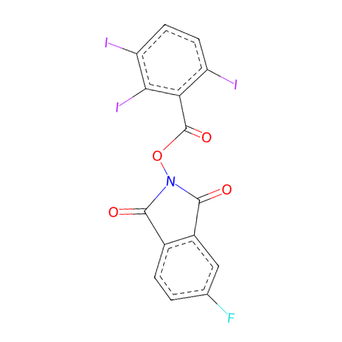 O=C(ON1C(=O)c2ccc(F)cc2C1=O)c1c(I)ccc(I)c1I